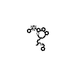 C/C=C(\C=C/Cc1cccc2ccccc2c2ccccc2c2ccc(-c3ncnc(-c4ccccc4)n3)cc2occ1)/C=N/C=C\c1ccccc1